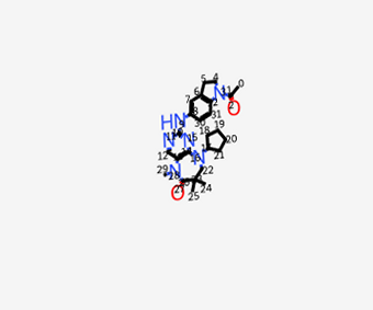 CC(=O)N1CCc2cc(Nc3ncc4c(n3)N(C3CCCC3)CC(C)(C)C(=O)N4C)ccc21